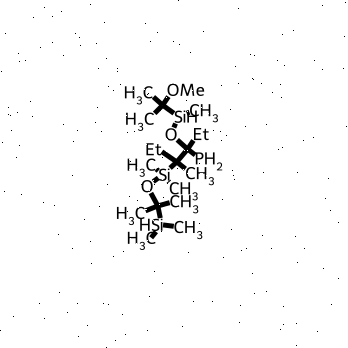 CCC(P)(O[SiH](C)C(C)(C)OC)C(C)(CC)[Si](C)(C)OC(C)(C)[SiH](C)C